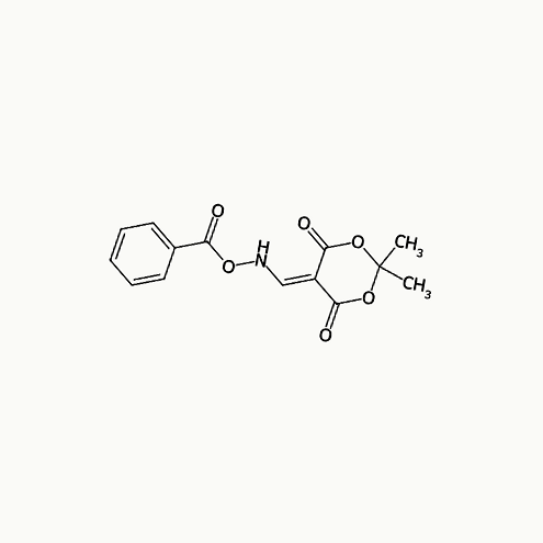 CC1(C)OC(=O)C(=CNOC(=O)c2ccccc2)C(=O)O1